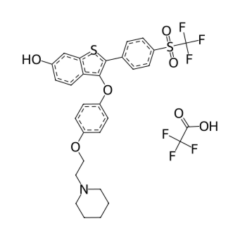 O=C(O)C(F)(F)F.O=S(=O)(c1ccc(-c2sc3cc(O)ccc3c2Oc2ccc(OCCN3CCCCC3)cc2)cc1)C(F)(F)F